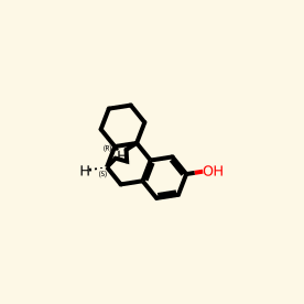 Oc1ccc2c(c1)C13CCCC[C@@H]1[C@@H](CCC3)C2